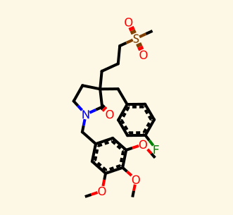 COc1cc(CN2CCC(CCCS(C)(=O)=O)(Cc3ccc(F)cc3)C2=O)cc(OC)c1OC